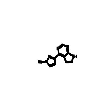 [CH2]Cn1ccc(-c2ncnc3[nH]ccc23)n1